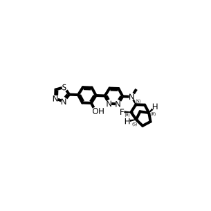 CN(c1ccc(-c2ccc(-c3nncs3)cc2O)nn1)[C@H]1C[C@@H]2CC[C@@H](C2)[C@H]1F